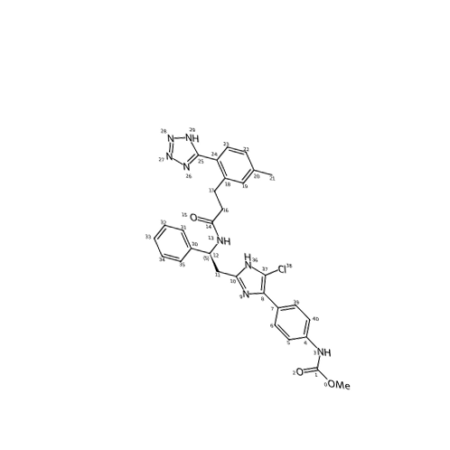 COC(=O)Nc1ccc(-c2nc(C[C@H](NC(=O)CCc3cc(C)ccc3-c3nnn[nH]3)c3ccccc3)[nH]c2Cl)cc1